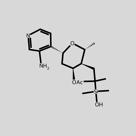 CC(=O)O[C@H]1C[C@H](c2ccncc2N)O[C@H](C)[C@H]1CC(C)(C)[Si](C)(C)O